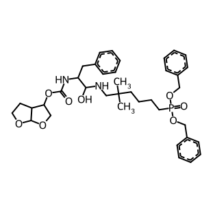 CC(C)(CCCCP(=O)(OCc1ccccc1)OCc1ccccc1)CNC(O)C(Cc1ccccc1)NC(=O)OC1COC2OCCC12